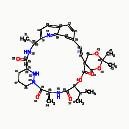 CC(C)C1OC(=O)C2(/C=C/c3ccc4ccc(nc4c3)[C@@H](C)NC(=O)[C@@H]3CCCN(N3)C(=O)[C@H](C)NC1=O)COC(C)(C)OC2